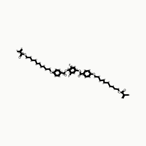 C=C(C)C(=O)OCCCCCCCCCCOc1ccc(C(=O)Oc2cc(F)c(OC(=O)c3ccc(OCCCCCCCCCCOC(=O)C(=C)C)cc3)c(F)c2)cc1